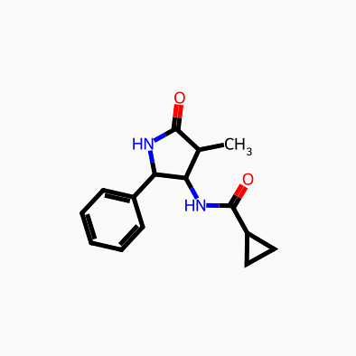 CC1C(=O)NC(c2ccccc2)C1NC(=O)C1CC1